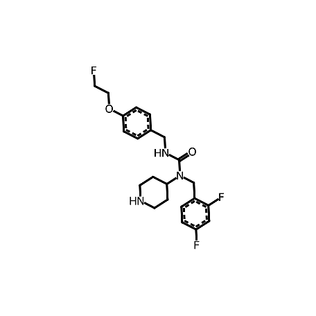 O=C(NCc1ccc(OCCF)cc1)N(Cc1ccc(F)cc1F)C1CCNCC1